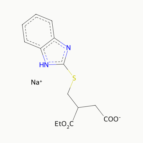 CCOC(=O)C(CSc1nc2ccccc2[nH]1)CC(=O)[O-].[Na+]